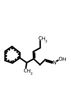 CCC=C([CH]C=NO)C(C)c1ccccc1